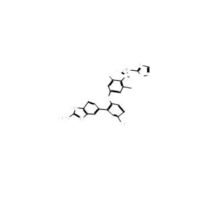 Nc1nc2cc(-c3cc(Cl)ccc3Oc3cc(F)c(S(=O)(=O)Nc4ncns4)c(F)c3)ccc2[nH]1